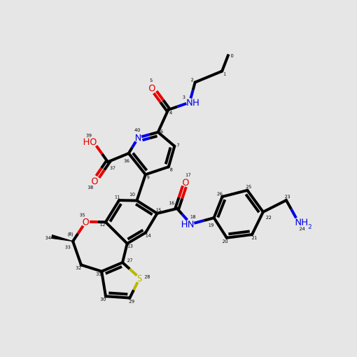 CCCNC(=O)c1ccc(-c2cc3c(cc2C(=O)Nc2ccc(CN)cc2)-c2sccc2C[C@@H](C)O3)c(C(=O)O)n1